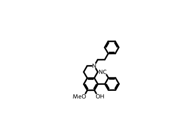 COc1cc2c(c(-c3ccccc3C#N)c1O)CN(CCc1ccccc1)CC2